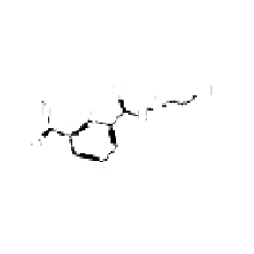 CCN=NC(=O)c1cccc(C(N)=O)c1